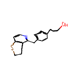 OCCc1ccc(Cc2nccc3c2CCS3)cc1